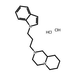 Cl.Cl.c1ccc2c(c1)ccn2CCCN1CCN2CCCCC2C1